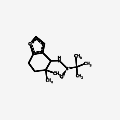 CC1(C)CCc2occc2C1N[S@+]([O-])C(C)(C)C